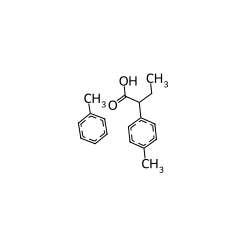 CCC(C(=O)O)c1ccc(C)cc1.Cc1ccccc1